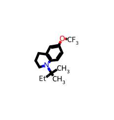 CCC(C)(C)N1CCCc2cc(OC(F)(F)F)ccc21